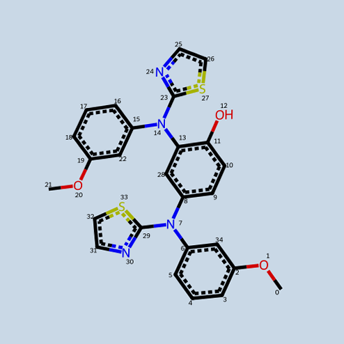 COc1cccc(N(c2ccc(O)c(N(c3cccc(OC)c3)c3nccs3)c2)c2nccs2)c1